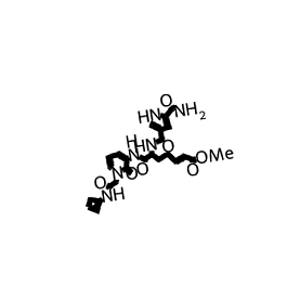 COC(=O)/C=C/CCC(NC(=O)c1c[nH]c(C(N)=O)c1)C(=O)Nc1cccn(CC(=O)NC23CC(C2)C3)c1=O